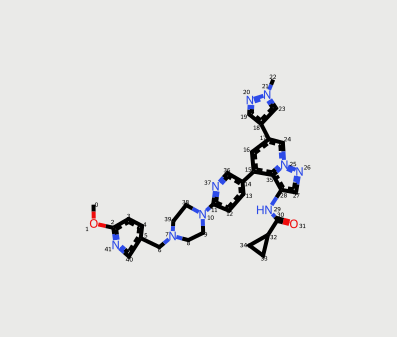 COc1ccc(CN2CCN(c3ccc(-c4cc(-c5cnn(C)c5)cn5ncc(NC(=O)C6CC6)c45)cn3)CC2)cn1